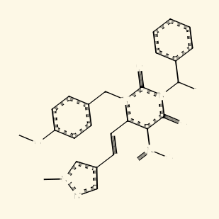 COc1ccc(Cn2c(C=Cc3cnn(C)c3)c([N+](=O)[O-])c(=O)n(C(F)c3ccccc3)c2=O)cc1